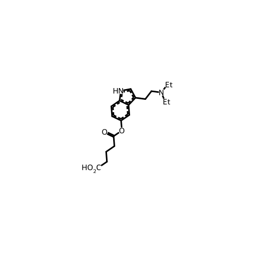 CCN(CC)CCc1c[nH]c2ccc(OC(=O)CCCC(=O)O)cc12